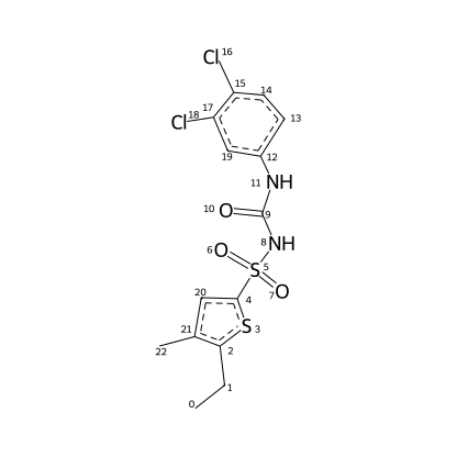 CCc1sc(S(=O)(=O)NC(=O)Nc2ccc(Cl)c(Cl)c2)cc1C